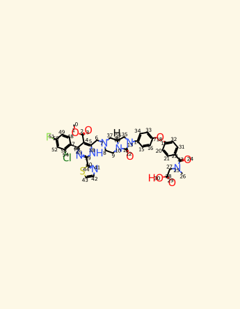 COC(=O)C1=C(CN2CCN3C(=O)N(c4ccc(Oc5ccc(C(=O)N(C)CC(=O)O)cc5)cc4)C[C@@H]3C2)NC(c2nccs2)=N[C@H]1c1ccc(F)cc1Cl